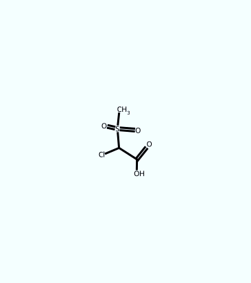 CS(=O)(=O)C(Cl)C(=O)O